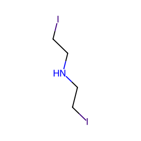 ICCNCCI